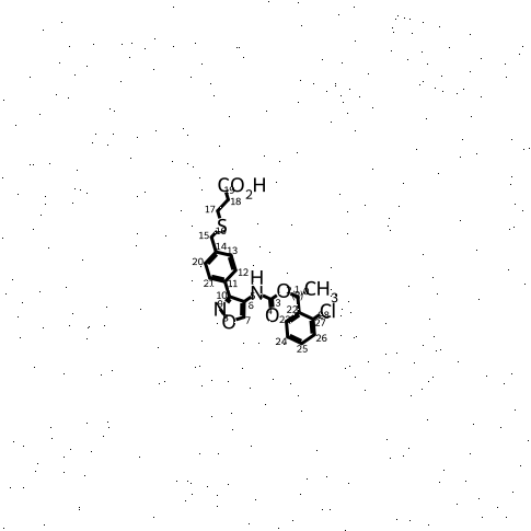 C[C@@H](OC(=O)Nc1conc1-c1ccc(CSCCC(=O)O)cc1)c1ccccc1Cl